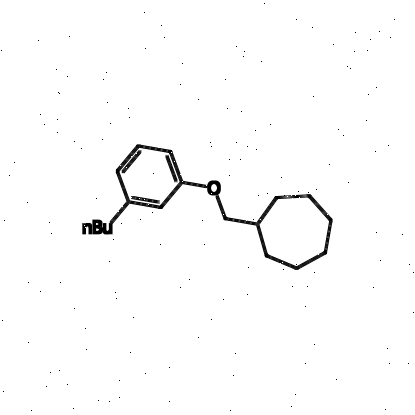 CCCCc1cccc(OCC2CCCCCC2)c1